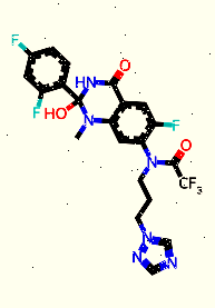 CN1c2cc(N(CCCn3cncn3)C(=O)C(F)(F)F)c(F)cc2C(=O)NC1(O)c1ccc(F)cc1F